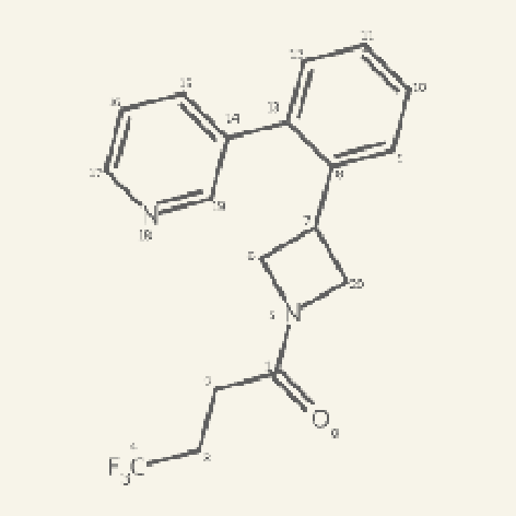 O=C(CCC(F)(F)F)N1CC(c2cc[c]cc2-c2cccnc2)C1